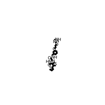 O=C(NCc1cccc(OCCOc2nc[nH]n2)c1)c1nc2scc(-c3cccs3)c2c(=O)[nH]1